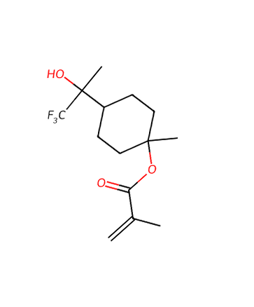 C=C(C)C(=O)OC1(C)CCC(C(C)(O)C(F)(F)F)CC1